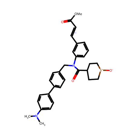 COC(=O)/C=C/c1cccc(N(Cc2ccc(-c3ccc(N(C)C)cc3)cc2)C(=O)C2CC[S+]([O-])CC2)c1